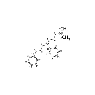 CN(C)CC/C=C(/CCCc1ccccc1)c1ccccc1